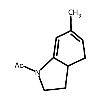 CC(=O)N1CCC2CC=C(C)C=C21